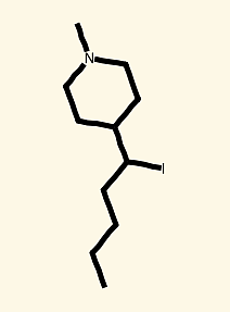 CCCCC(I)C1CCN(C)CC1